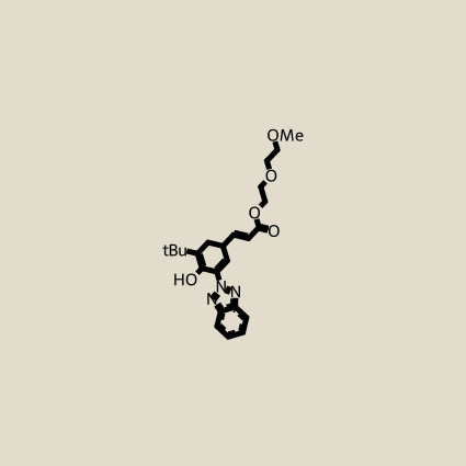 COCCOCCOC(=O)C=CC1C=C(n2nc3ccccc3n2)C(O)=C(C(C)(C)C)C1